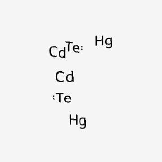 [Cd].[Cd].[Hg].[Hg].[Te].[Te]